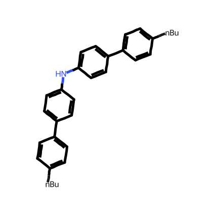 CCCCc1ccc(-c2ccc(Nc3ccc(-c4ccc(CCCC)cc4)cc3)cc2)cc1